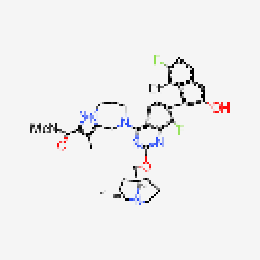 CCc1c(F)ccc2cc(O)cc(-c3ccc4c(N5CCCn6nc(C(=O)NC)c(C)c6C5)nc(OC[C@@]56CCCN5C[C@H](C)C6)nc4c3F)c12